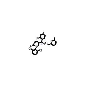 Cc1cccc(CO/N=C(/c2ccc(=O)n(-c3c(Cl)cccc3Cl)c2)c2ccc(F)cc2F)n1